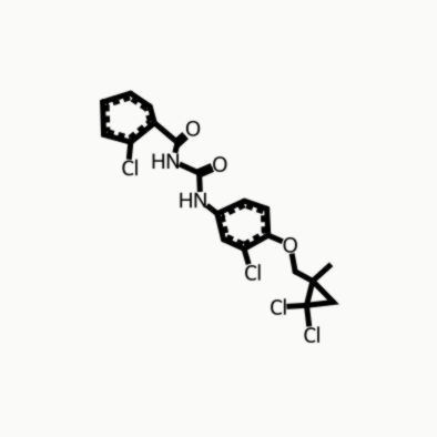 CC1(COc2ccc(NC(=O)NC(=O)c3ccccc3Cl)cc2Cl)CC1(Cl)Cl